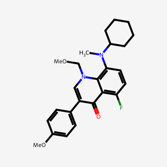 COCn1cc(-c2ccc(OC)cc2)c(=O)c2c(F)ccc(N(C)C3CCCCC3)c21